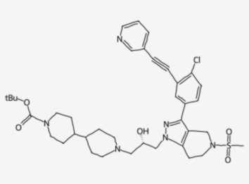 CC(C)(C)OC(=O)N1CCC(C2CCN(C[C@H](O)Cn3nc(-c4ccc(Cl)c(C#Cc5cccnc5)c4)c4c3CCN(S(C)(=O)=O)C4)CC2)CC1